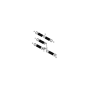 [O]=[AlH].[O]=[Pr].[O]=[Ti]=[O].[O]=[Zr]